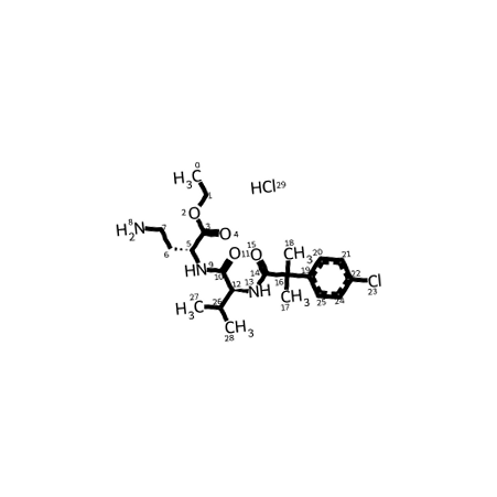 CCOC(=O)[C@@H](CCN)NC(=O)[C@@H](NC(=O)C(C)(C)c1ccc(Cl)cc1)C(C)C.Cl